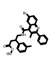 Cc1cccc(C(CNC(=O)c2c(C)c(-c3ccccc3)nc3ccc(Br)cc23)CC(=O)OC(C)(C)C)c1